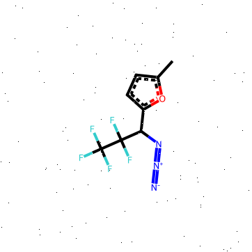 Cc1ccc(C(N=[N+]=[N-])C(F)(F)C(F)(F)F)o1